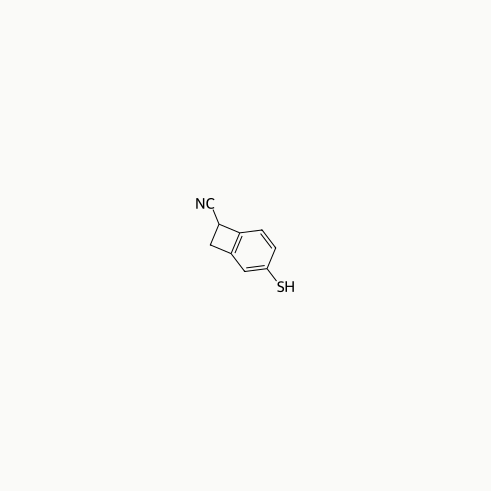 N#CC1Cc2cc(S)ccc21